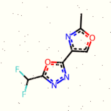 Cc1nc(-c2nnc(C(F)F)o2)co1